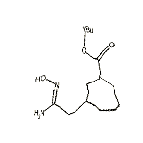 CC(C)(C)OC(=O)N1CCCC(CC(N)=NO)C1